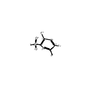 Cc1nc(S(C)(=O)=O)c(F)cc1F